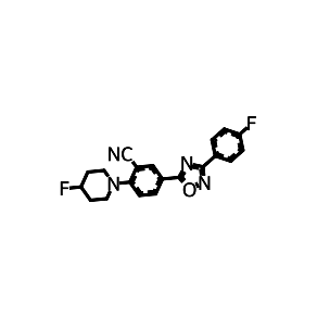 N#Cc1cc(-c2nc(-c3ccc(F)cc3)no2)ccc1N1CCC(F)CC1